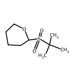 CC(C)(C)S(=O)(=O)C1CCCCO1